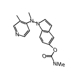 CNC(=O)Oc1ccc2c(ccn2N(C)c2ccncc2C)c1